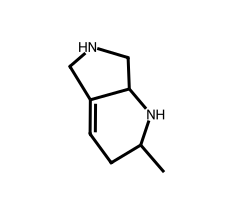 CC1CC=C2CNCC2N1